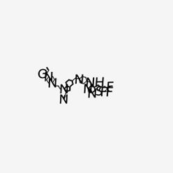 C=CC(=O)N1CCN(CCCn2c(C#N)cc3cc(CN4CCC(Nc5ncnc6sc(CC(F)(F)F)cc56)CC4)ccc32)CC1